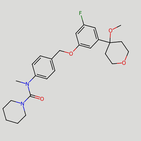 COC1(c2cc(F)cc(OCc3ccc(N(C)C(=O)N4CCCCC4)cc3)c2)CCOCC1